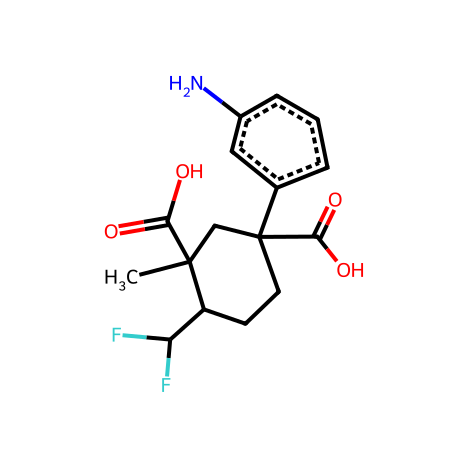 CC1(C(=O)O)CC(C(=O)O)(c2cccc(N)c2)CCC1C(F)F